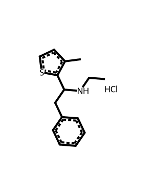 CCNC(Cc1ccccc1)c1sccc1C.Cl